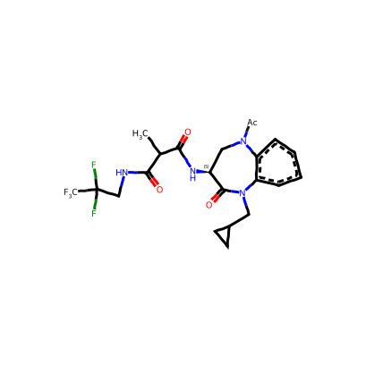 CC(=O)N1C[C@H](NC(=O)C(C)C(=O)NCC(F)(F)C(F)(F)F)C(=O)N(CC2CC2)c2ccccc21